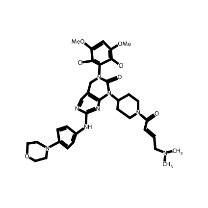 COc1cc(OC)c(Cl)c(N2Cc3cnc(Nc4ccc(N5CCOCC5)cc4)nc3N(C3CCN(C(=O)C=CCN(C)C)CC3)C2=O)c1Cl